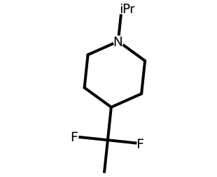 CC(C)N1CCC(C(C)(F)F)CC1